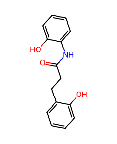 O=C(CCc1ccccc1O)Nc1ccccc1O